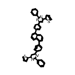 c1ccc(-c2nc(-c3ccc(-c4cccc5c(-c6ccc(-c7cc(-c8cccs8)nc(-c8ccccc8)n7)cc6)cccc45)cc3)cc(-c3cccs3)n2)cc1